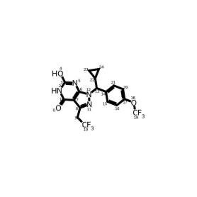 O=c1[nH]c(O)nc2c1c(CC(F)(F)F)nn2C(c1ccc(OC(F)(F)F)cc1)C1CC1